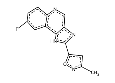 Cc1cc(-c2nc3cnc4ccc(F)cc4c3[nH]2)on1